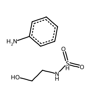 Nc1ccccc1.O=[SH](=O)NCCO